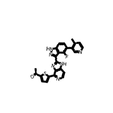 CC(=O)c1ccc(-c2nccc3[nH]c(-c4n[nH]c5ccc(-c6cnccc6C)c(F)c45)nc23)s1